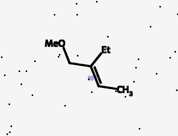 C/C=C(\CC)COC